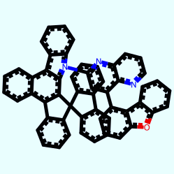 c1ccc2c(c1)-c1ccccc1C21c2ccccc2-c2c1c1c(c3ccccc23)c2ccccc2n1-c1cc(-c2cccc3oc4ccccc4c23)c2ncccc2n1